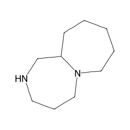 C1CCC2CNCCCN2CC1